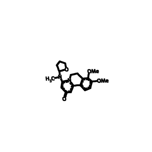 COc1ccc2c(c1OC)CCn1c-2cc(=O)cc1N(C)C1CCCO1